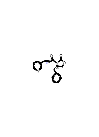 O=C(/C=C/c1cccnc1)N1C(=O)OC[C@@H]1Cc1ccccc1